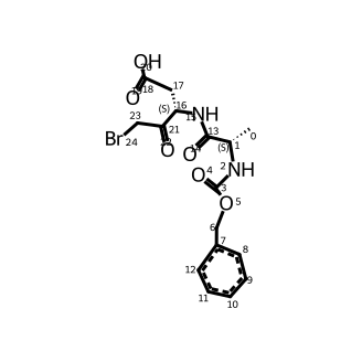 C[C@H](NC(=O)OCc1ccccc1)C(=O)N[C@@H](CC(=O)O)C(=O)CBr